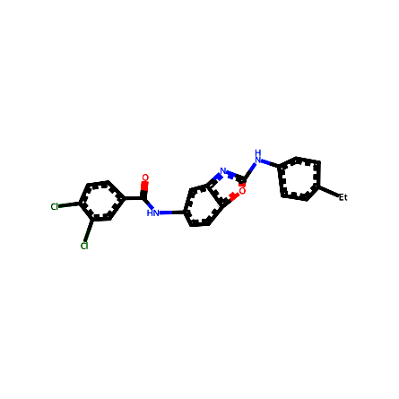 CCc1ccc(Nc2nc3cc(NC(=O)c4ccc(Cl)c(Cl)c4)ccc3o2)cc1